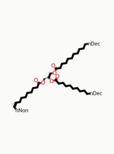 CCCCCCCCC/C=C\CCCCCCCC(=O)OC[C@H](COC(=O)CCCCCCCCCCCCCCCCCCCC)OC(=O)CCCCCCCCCCCCCCCCCCC